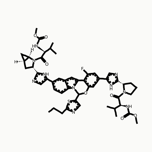 CCCc1ncc(C2Oc3cc(-c4cnc([C@@H]5CCCN5C(=O)[C@@H](NC(=O)OC)C(C)C)[nH]4)cc(F)c3-c3cc4cc(-c5cnc([C@@H]6C[C@H]7C[C@H]7N6C(=O)[C@@H](NC(=O)OC)C(C)C)[nH]5)ccc4n32)s1